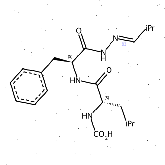 CC(C)/C=N/NC(=O)[C@H](Cc1ccccc1)NC(=O)[C@H](CC(C)C)NC(=O)O